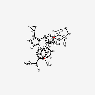 COC(=O)c1ccc(-c2csc(N3C4CC[C@@H]3C[C@H](OCc3c(-c5ccccc5OC(F)(F)F)noc3C3CC3)C4)n2)cc1C(F)(F)F